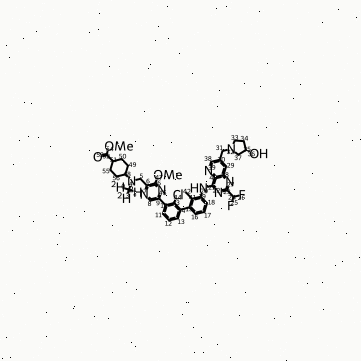 [2H]C([2H])([2H])N(Cc1ncc(-c2cccc(-c3cccc(Nc4nc(C(F)F)nc5cc(CN6CC[C@@H](O)C6)cnc45)c3C)c2Cl)nc1OC)C1CCC(C(=O)OC)CC1